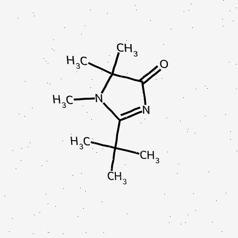 CN1C(C(C)(C)C)=NC(=O)C1(C)C